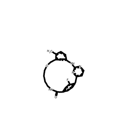 Cc1ccc2cc1COCCCCNC(=O)c1ccc(c(F)c1)-c1ccnc(n1)N2